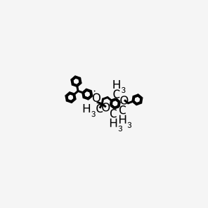 Cc1c(C)c2c(c(C)c1OCc1ccccc1)CCC(C)(COc1[c]cc(C(c3ccccc3)c3ccccc3)cc1)O2